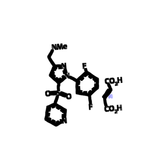 CNCc1cc(S(=O)(=O)c2cccnc2)n(-c2cc(F)ccc2F)n1.O=C(O)/C=C/C(=O)O